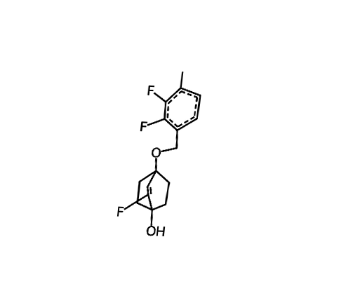 Cc1ccc(COC23C=C(F)C(O)(CC2)CC3)c(F)c1F